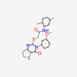 COc1cccc(-n2c(SCC(=O)Nc3cc(C)ccc3C)nc3c(c2=O)SCC3)c1